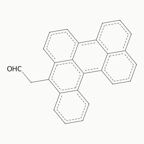 O=CCc1c2ccccc2c2c3cccc4cccc(c5cccc1c52)c43